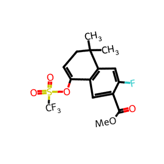 COC(=O)c1cc2c(cc1F)C(C)(C)CC=C2OS(=O)(=O)C(F)(F)F